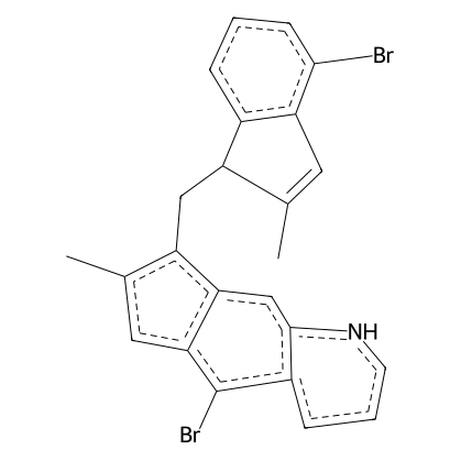 CC1=Cc2c(Br)cccc2C1Cc1c(C)cc2c(Br)c3ccc[nH]c3cc12